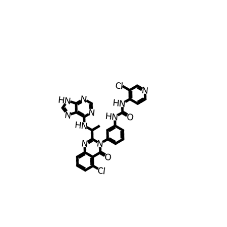 CC(Nc1ncnc2[nH]cnc12)c1nc2cccc(Cl)c2c(=O)n1-c1cccc(NC(=O)Nc2ccncc2Cl)c1